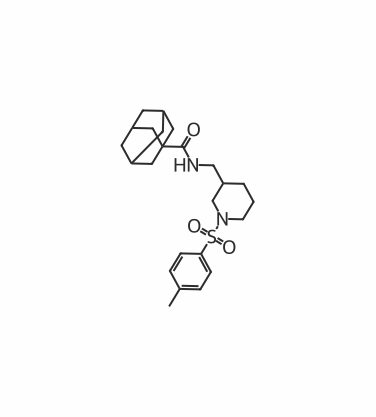 Cc1ccc(S(=O)(=O)N2CCCC(CNC(=O)C34CC5CC(CC(C5)C3)C4)C2)cc1